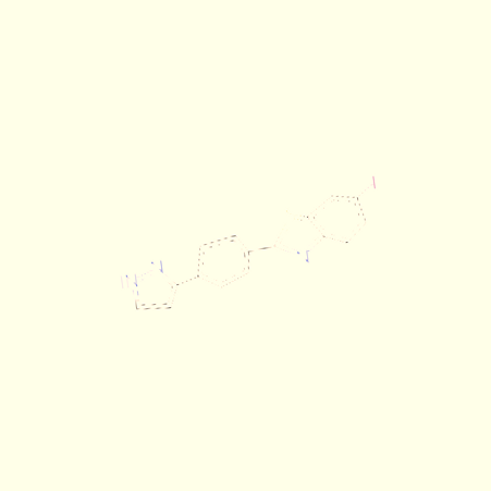 Ic1ccc2nc(-c3ccc(-c4cc[nH]n4)cc3)sc2c1